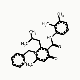 Cc1cccc(NC(=O)c2c(CC(C)C)n(Cc3ccccn3)c(C)cc2=O)c1C